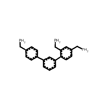 PCc1ccc(-c2cccc(-c3ccc(CP)cc3CP)c2)cc1